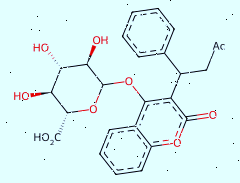 CC(=O)CC(c1ccccc1)c1c(OC2O[C@H](C(=O)O)[C@@H](O)[C@H](O)[C@H]2O)c2ccccc2oc1=O